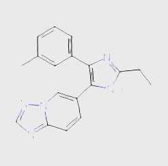 CCc1nc(-c2cccc(C)c2)c(-c2ccc3ncnn3c2)[nH]1